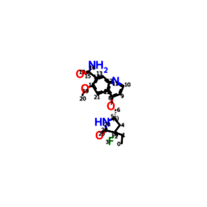 CC[C@]1(F)C[C@@H](COc2ccnc3cc(C(N)=O)c(OC)cc23)NC1=O